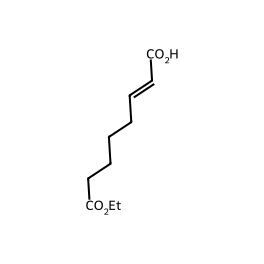 CCOC(=O)CCCCC=CC(=O)O